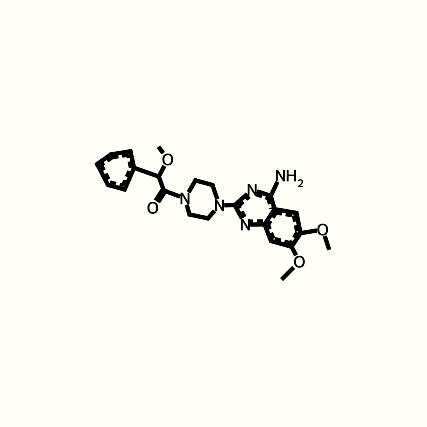 COc1cc2nc(N3CCN(C(=O)C(OC)c4ccccc4)CC3)nc(N)c2cc1OC